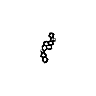 C1=Cc2c3c(cc4oc5ccccc5c24)C=CC2c4c(sc5cc6ccccc6cc45)C=C1C32